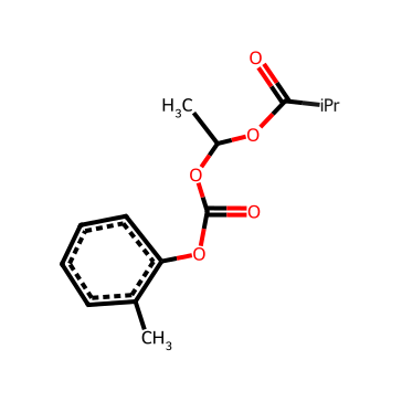 Cc1ccccc1OC(=O)OC(C)OC(=O)C(C)C